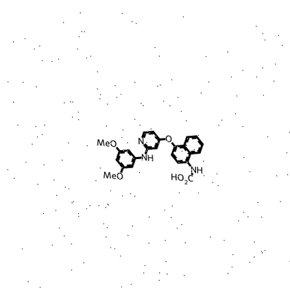 COc1cc(Nc2cc(Oc3ccc(NC(=O)O)c4ccccc34)ccn2)cc(OC)c1